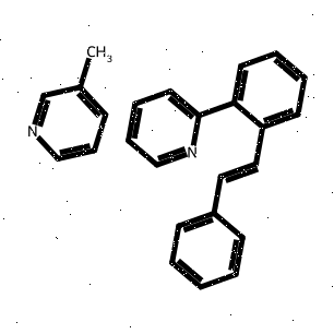 C(=Cc1ccccc1-c1ccccn1)c1ccccc1.Cc1cccnc1